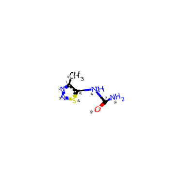 Cc1nnsc1NC(N)=O